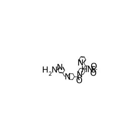 CS(=O)(=O)NCC(c1ccccn1)C1CCN(C(=O)C2CCN(Cc3ccnc(N)c3)CC2)CC1